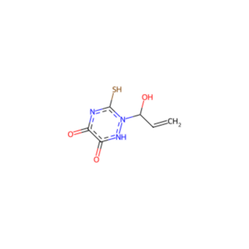 C=CC(O)n1[nH]c(=O)c(=O)nc1S